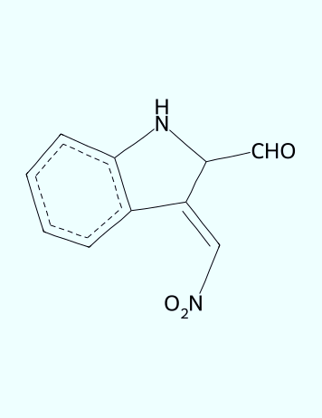 O=CC1Nc2ccccc2C1=C[N+](=O)[O-]